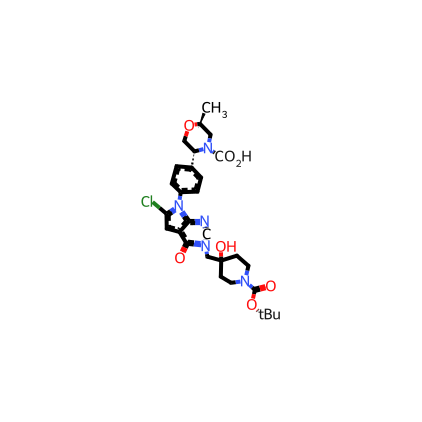 C[C@H]1CN(C(=O)O)[C@H](c2ccc(-n3c(Cl)cc4c(=O)n(CC5(O)CCN(C(=O)OC(C)(C)C)CC5)cnc43)cc2)CO1